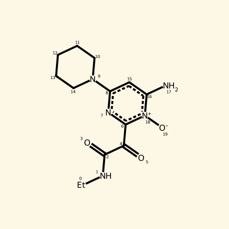 CCNC(=O)C(=O)c1nc(N2CCCCC2)cc(N)[n+]1[O-]